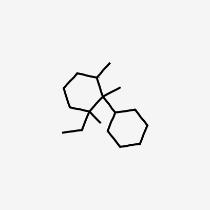 CCC1(C)CCC[C](C)C1(C)C1CCCCC1